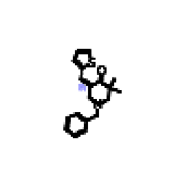 CC1(C)CN(Cc2ccccc2)C/C(=C/c2cccs2)C1=O